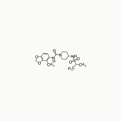 Cc1c(NC(=O)N2CCC(NS(=O)(=O)C(C)C)CC2)ccc2c1OCO2